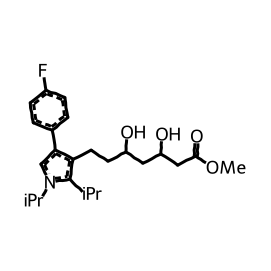 COC(=O)CC(O)CC(O)CCc1c(-c2ccc(F)cc2)cn(C(C)C)c1C(C)C